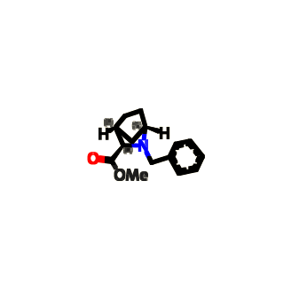 COC(=O)[C@H]1[C@@H]2CC[C@@H](C2)N1Cc1ccccc1